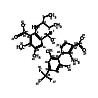 CCC(CC)Nc1c([N+](=O)[O-])cc(C)c(C)c1[N+](=O)[O-].Nc1c([N+](=O)[O-])cnn1-c1c(Cl)cc(C(F)(F)F)cc1Cl